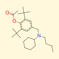 CCCCN(Cc1cc(C(C)(C)C)c(OC(C)=O)c(C(C)(C)C)c1)C1CCCCC1